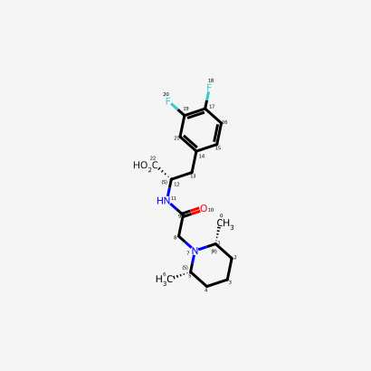 C[C@@H]1CCC[C@H](C)N1CC(=O)N[C@@H](Cc1ccc(F)c(F)c1)C(=O)O